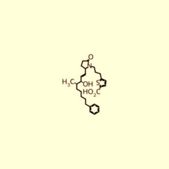 C[C@H](CCCCCc1ccccc1)[C@H](O)C=CC1CCC(=O)N1CCCc1ccc(C(=O)O)s1